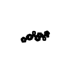 O=C(c1cccc2c1ccn2C(=O)c1cccs1)N1CCN(C2CCCC2)CC1